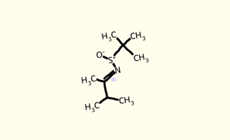 C/C(=N\[S+]([O-])C(C)(C)C)C(C)C